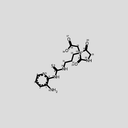 Nc1cccnc1NC(=S)NCCC[N+]1(CC(=O)[O-])C(=O)CNC1=O